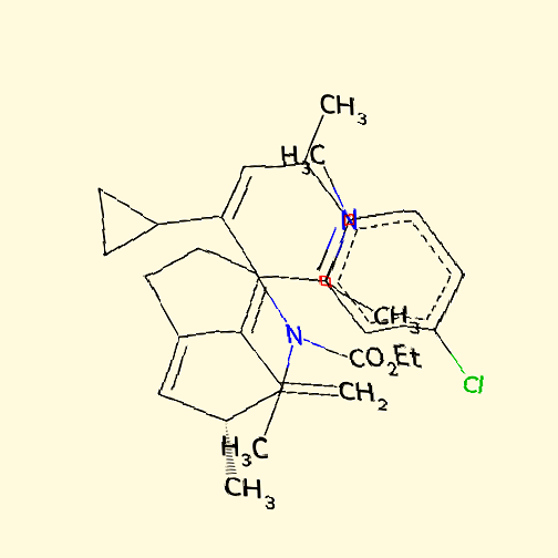 C=C(C)C(/C1=C\[C@@H](C)CN(C(=O)OCC)CCC1)=C(C(=C\C(C)c1ccc(Cl)cc1)/C1CC1)\C(C)=N/C